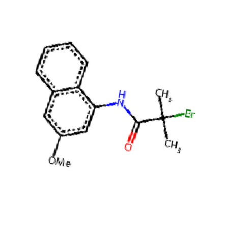 COc1cc(NC(=O)C(C)(C)Br)c2ccccc2c1